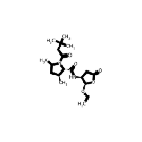 CCO[C@@H]1OC(=O)C[C@@H]1NC(=O)[C@@H]1[C@@H](C)CC(C)N1C(=O)CC(C)(C)C